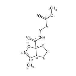 COC(=O)CCNC(=O)C12CCCC1C(C)=NO2